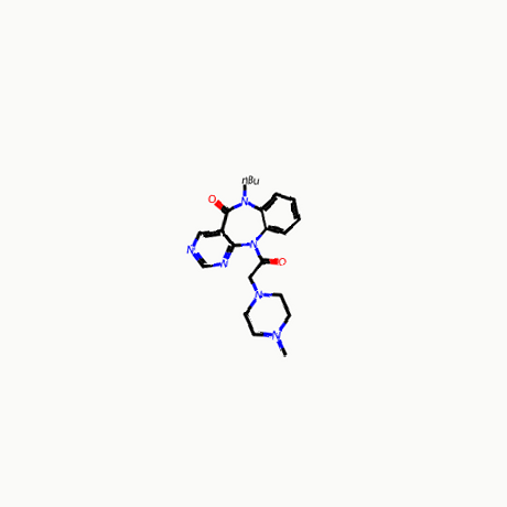 CCCCN1C(=O)c2cncnc2N(C(=O)CN2CCN(C)CC2)c2ccccc21